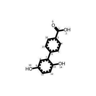 O=C(O)c1ccc(-c2cc(O)ccc2O)cc1